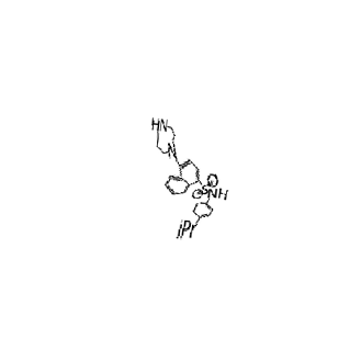 CC(C)c1ccc(NS(=O)(=O)c2ccc(N3CCCNCC3)c3ccccc23)cc1